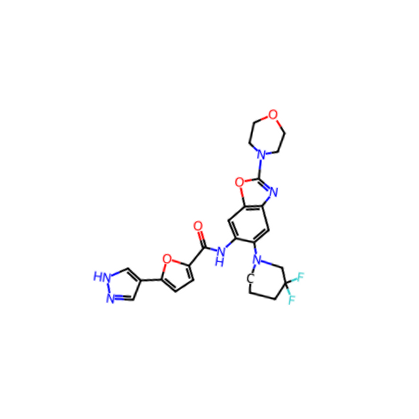 O=C(Nc1cc2oc(N3CCOCC3)nc2cc1N1CCCC(F)(F)C1)c1ccc(-c2cn[nH]c2)o1